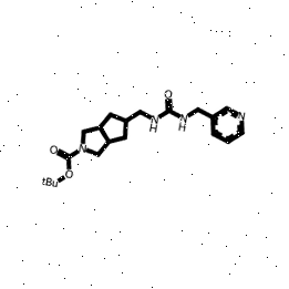 CC(C)(C)OC(=O)N1CC2CC(CNC(=O)NCc3cccnc3)CC2C1